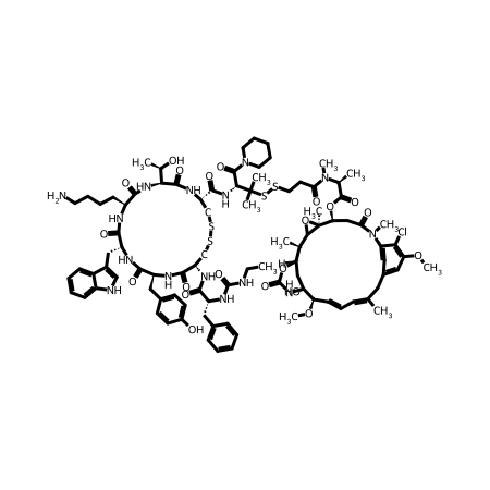 CCNC(=O)N[C@H](Cc1ccccc1)C(=O)N[C@H]1CSSC[C@@H](C(=O)N[C@H](C(=O)N2CCCCC2)C(C)(C)SSCCC(=O)N(C)[C@@H](C)C(=O)O[C@H]2CC(=O)N(C)c3cc(cc(OC)c3Cl)C/C(C)=C/C=C/[C@@H](OC)[C@@]3(O)C[C@H](OC(=O)N3)[C@@H](C)C3O[C@]32C)NC(=O)[C@H]([C@@H](C)O)NC(=O)[C@H](CCCCN)NC(=O)[C@@H](Cc2c[nH]c3ccccc23)NC(=O)[C@H](Cc2ccc(O)cc2)NC1=O